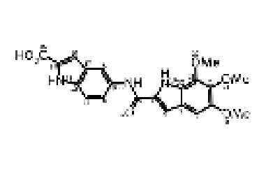 COc1cc2cc(C(=O)Nc3ccc4[nH]c(C(=O)O)cc4c3)[nH]c2c(OC)c1OC